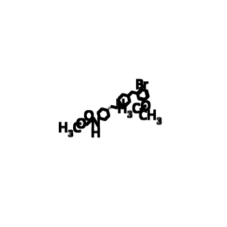 COCC(=O)N[C@H]1CC[C@H](CCN2CCC(Cc3cc(OC(C)C)ccc3Br)CC2)CC1